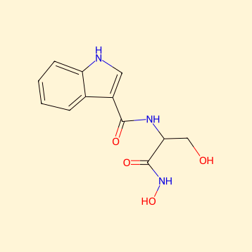 O=C(NC(CO)C(=O)NO)c1c[nH]c2ccccc12